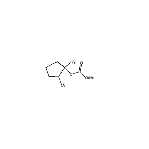 CCCC1(OC(=O)OC)CCCC1C#N